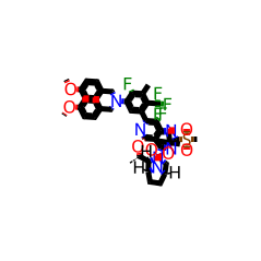 COc1ccc(CN(Cc2ccc(OC)cc2)c2cc(-c3nc4c5c(nc(S(C)(=O)=O)nc5c3F)N3C[C@H]5CC[C@@H]([C@H]3[C@H](C)O4)N5C(=O)OC(C)(C)C)c(C(F)(F)F)c(C)c2F)cc1